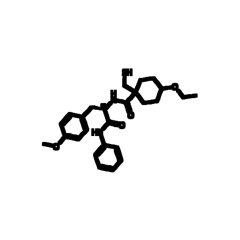 CCOC1CCC(CS)(C(=O)N[C@@H](Cc2ccc(OC)cc2)C(=O)Nc2ccccc2)CC1